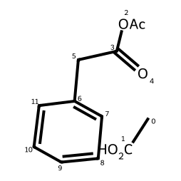 CC(=O)O.CC(=O)OC(=O)Cc1ccccc1